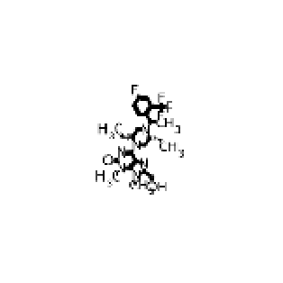 CC[C@H]1CN(C(C)c2ccc(F)cc2C(F)(F)F)[C@H](CC)CN1c1nc(=O)n(C)c2c1nc(CO)n2C